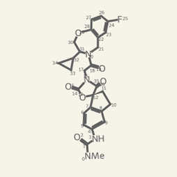 CNC(=O)Nc1ccc2c(c1)CC[C@]21OC(=O)N(CC(=O)N2Cc3cc(F)ccc3OCC2C2CC2)C1=O